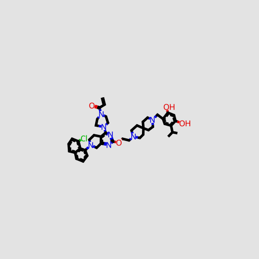 C=CC(=O)N1CCN(c2nc(OCCN3CCC4(CC3)CCN(Cc3cc(C(C)C)c(O)cc3O)CC4)nc3c2CCN(c2cccc4cccc(Cl)c24)C3)CC1